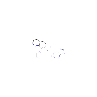 CC(NC1N=CN=C2NC=NC21)c1cc(Cl)c2cccnc2c1N1CC[C@@H](O)C1